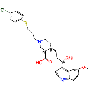 COc1ccc2nccc([C@@H](O)CC[C@@H]3CCN(CCCSc4ccc(Cl)cc4)C[C@@H]3C(=O)O)c2c1